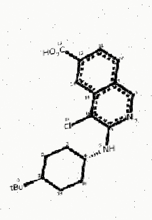 CC(C)(C)[C@H]1CC[C@H](Nc2ncc3ccc(C(=O)O)cc3c2Cl)CC1